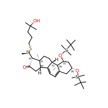 C[C@@H](SCCCC(C)(C)O)[C@H]1C(=O)C[C@H]2C3=CC=C4C[C@@H](O[Si](C)(C)C(C)(C)C)C[C@H](O[Si](C)(C)C(C)(C)C)[C@]4(C)[C@H]3CC[C@]12C